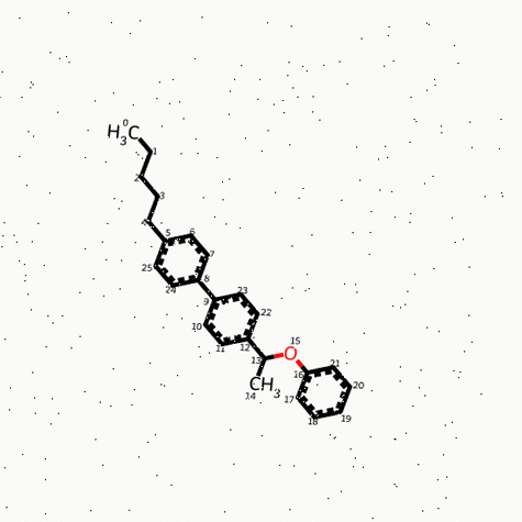 CCCCCc1ccc(-c2ccc(C(C)Oc3ccccc3)cc2)cc1